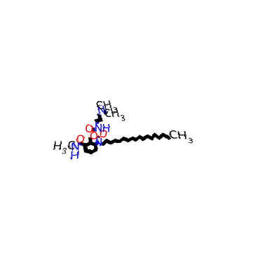 CCCCCCCCCCCCCCCCCCN(C=O)C1CC=CC(C(=O)NC)C1COC(=O)NCCCN(C)C